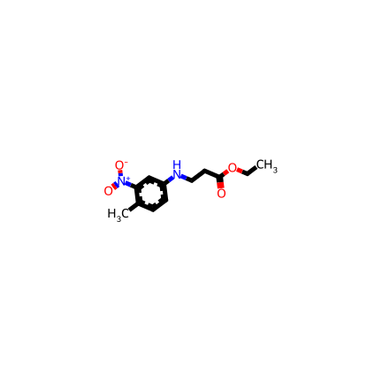 CCOC(=O)CCNc1ccc(C)c([N+](=O)[O-])c1